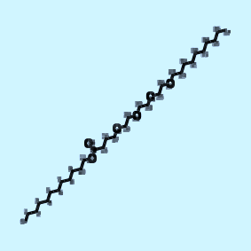 CCCCCCCCCCCCOC(=O)CCCOCCOCCOCCOCCCCCCCCCC